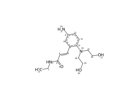 CCNC(=O)C=Cc1cc(N)ccc1N(CCO)CCO